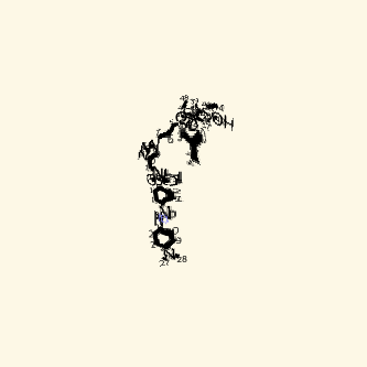 C=C(C)C[Si]1(CCCn2cc(CNS(=O)(=O)c3ccc(/N=N/c4ccc(N(C)C)cc4)cc3)nn2)O[Si](C)([C@@H](C)[Si](C)(O)CC)[Si@](C)(CC)O1